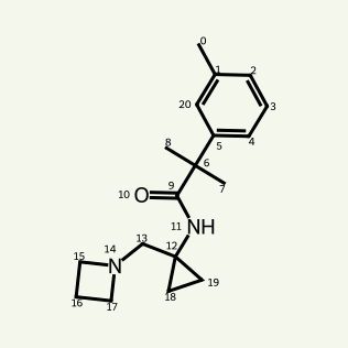 Cc1cccc(C(C)(C)C(=O)NC2(CN3CCC3)CC2)c1